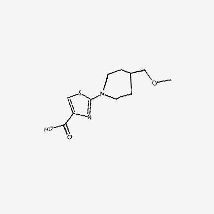 COCC1CCN(c2nc(C(=O)O)cs2)CC1